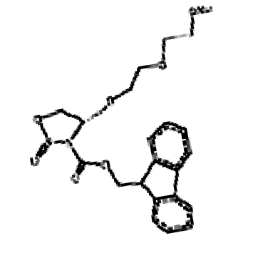 COCCOCCOC[C@H]1COS(=O)N1C(=O)OCC1c2ccccc2-c2ccccc21